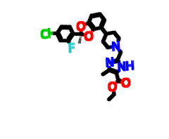 CCOC(=O)c1[nH]c(CN2CCC(c3cccc4c3O[C@@](C)(c3ccc(Cl)cc3F)O4)CC2)nc1C